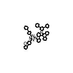 c1ccc(-c2ccc(-c3nc(-c4ccc5c(c4)oc4ccccc45)nc(-n4c5ccccc5c5c6c7c8ccccc8c8ccccc8c7n(-c7cc(-c8ccccc8)cc(-c8ccccc8)c7)c6ccc54)n3)cc2)cc1